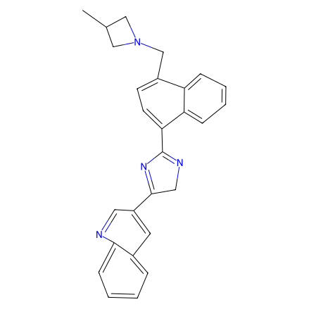 CC1CN(Cc2ccc(C3=NCC(c4cnc5ccccc5c4)=N3)c3ccccc23)C1